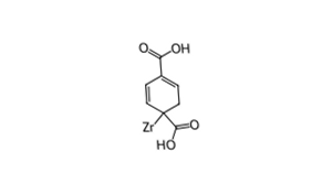 O=C(O)C1=CC[C]([Zr])(C(=O)O)C=C1